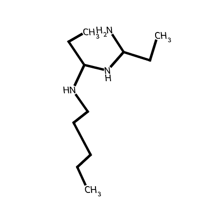 CCCCCNC(CC)NC(N)CC